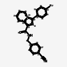 N#Cc1ccc(CNC(=O)c2nc(-c3ccc(F)cc3)n3ccccc23)cc1